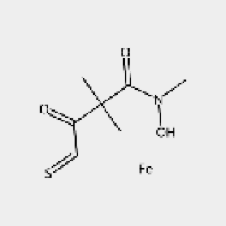 CN(O)C(=O)C(C)(C)C(=O)C=S.[Fe]